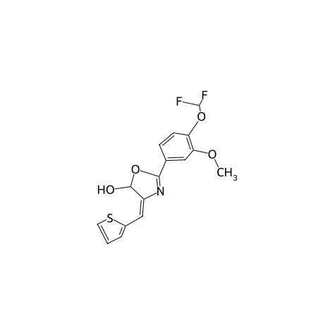 COc1cc(C2=N/C(=C/c3cccs3)C(O)O2)ccc1OC(F)F